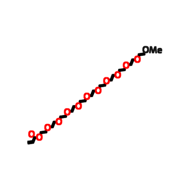 C=CC(=O)OCCOCCOCCOCCOCCOCCOCCOCCOCCOCCOCCOC